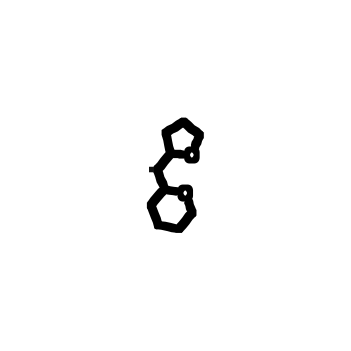 [CH](C1CCCCO1)C1CCCO1